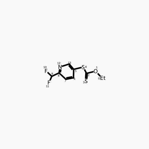 CCOC(=S)Sc1ccc(C(F)F)nc1